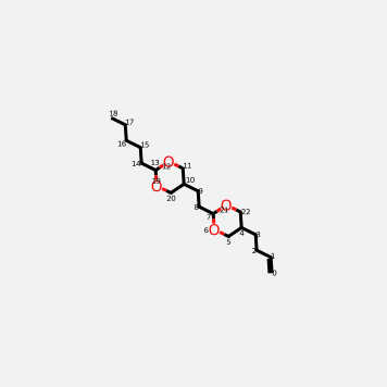 C=CCCC1COC(CCC2COC(CCCCC)OC2)OC1